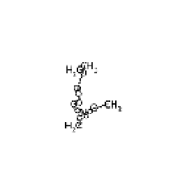 C=Cc1ccc2c(c1)c(Oc1ccc(OCCCCCC)cc1)nc1cc(C(=O)OCCc3ccc(OCCCCCCOC(=C)CC)cc3)ccc12